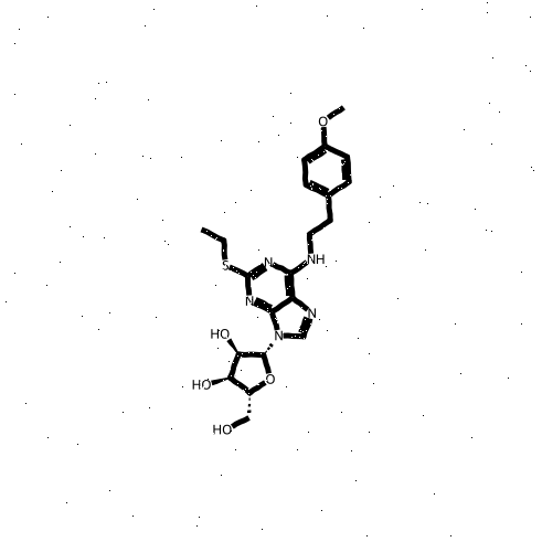 CCSc1nc(NCCc2ccc(OC)cc2)c2ncn([C@@H]3O[C@H](CO)[C@@H](O)[C@H]3O)c2n1